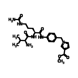 COC(=O)c1ccn(Cc2ccc(NC(=O)[C@H](CCCNC(N)=O)NC(=O)[C@@H](N)C(C)C)cc2)c1